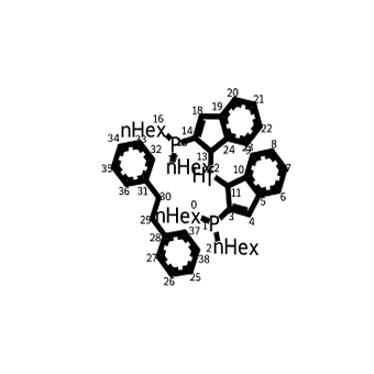 CCCCCCP(CCCCCC)C1=Cc2ccccc2[CH]1[Hf][CH]1C(P(CCCCCC)CCCCCC)=Cc2ccccc21.c1ccc(CCc2ccccc2)cc1